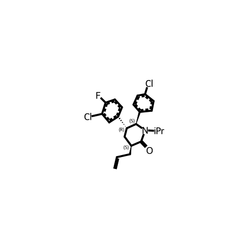 C=CC[C@H]1C[C@H](c2ccc(F)c(Cl)c2)[C@@H](c2ccc(Cl)cc2)N(C(C)C)C1=O